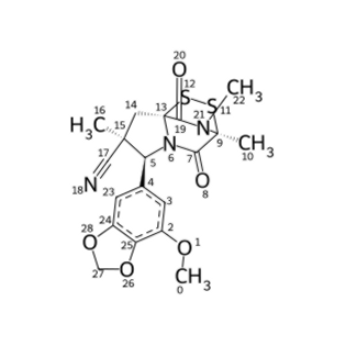 COc1cc([C@@H]2N3C(=O)[C@]4(C)SS[C@@]3(C[C@]2(C)C#N)C(=O)N4C)cc2c1OCO2